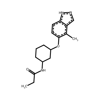 CCC(=O)NC1CCCC(Oc2ccc3[nH]ncc3c2C)C1